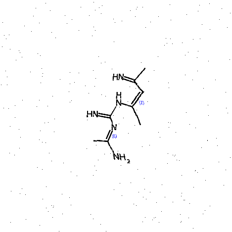 CC(=N)/C=C(/C)NC(=N)/N=C(\C)N